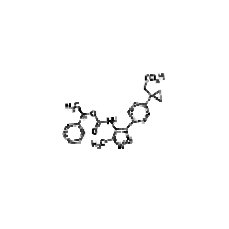 Cc1nsc(-c2ccc(C3(CC(=O)O)CC3)cc2)c1NC(=O)O[C@H](C)c1ccccc1